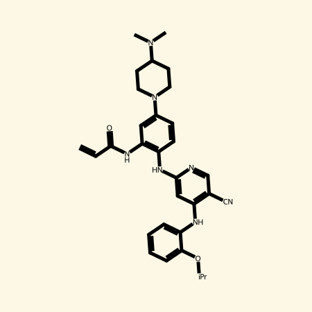 C=CC(=O)Nc1cc(N2CCC(N(C)C)CC2)ccc1Nc1cc(Nc2ccccc2OC(C)C)c(C#N)cn1